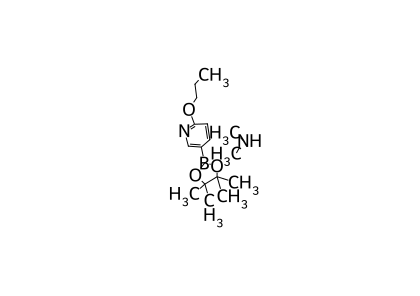 CCCOc1ccc(B2OC(C)(C)C(C)(C)O2)cn1.CNC